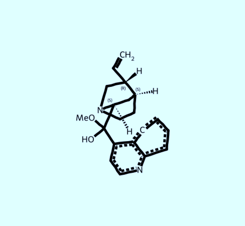 C=C[C@H]1CN2CC[C@H]1C[C@H]2C(O)(OC)c1ccnc2ccccc12